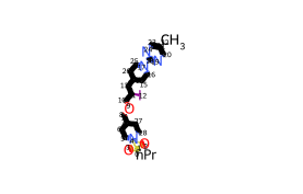 CCCS(=O)(=O)N1CCC(COC[C@H](I)CC2CCN(c3ncc(C)cn3)CC2)CC1